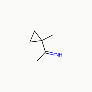 CC(=N)C1(C)CC1